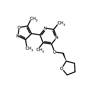 Cc1nc(OC[C@H]2CCCO2)c(C)c(-c2c(C)noc2C)n1